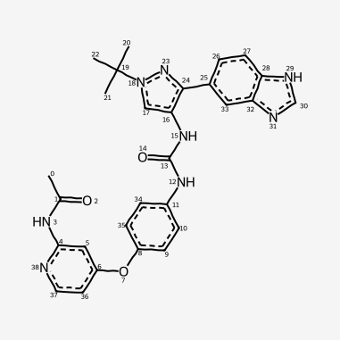 CC(=O)Nc1cc(Oc2ccc(NC(=O)Nc3cn(C(C)(C)C)nc3-c3ccc4[nH]cnc4c3)cc2)ccn1